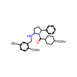 COc1ccc(C(C)(C)C)cc1CNC1CCC(c2ccccc2)N1C(=O)C1CCC(OC)CC1